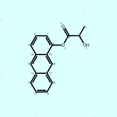 CC(O)C(=O)Oc1cccc2cc3ccccc3cc12